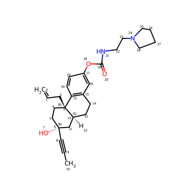 C=CC[C@]12CC[C@](O)(C#CC)C[C@@H]1CCc1cc(OC(=O)NCCN3CCCC3)ccc12